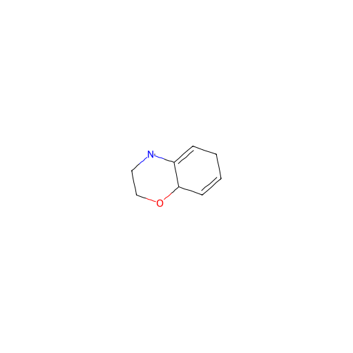 C1=CC2OCC[N]C2=CC1